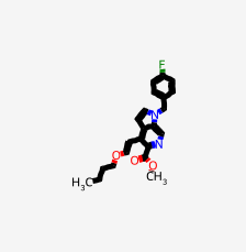 CCCCOC=Cc1c(C(=O)OC)ncc2c1ccn2Cc1ccc(F)cc1